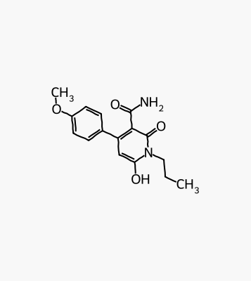 CCCn1c(O)cc(-c2ccc(OC)cc2)c(C(N)=O)c1=O